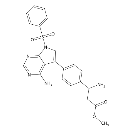 COC(=O)CC(N)c1ccc(-c2cn(S(=O)(=O)c3ccccc3)c3ncnc(N)c23)cc1